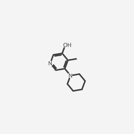 Cc1c(N2CCCCC2)[c]ncc1O